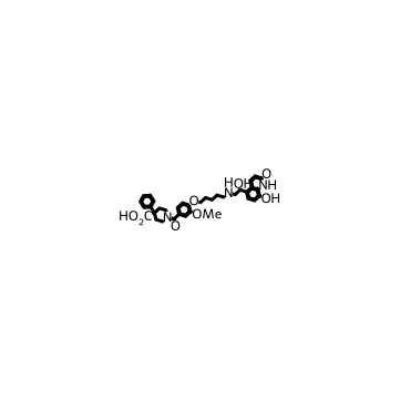 COc1cc(C(=O)N2CCC(C(=O)O)(c3ccccc3)CC2)ccc1OCCCCCNCC(O)c1ccc(O)c2[nH]c(=O)ccc12